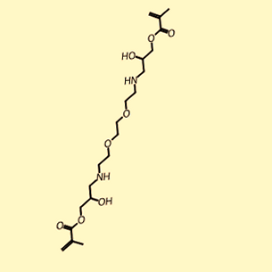 C=C(C)C(=O)OCC(O)CNCCOCCOCCNCC(O)COC(=O)C(=C)C